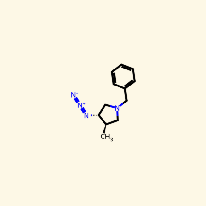 C[C@@H]1CN(Cc2ccccc2)C[C@H]1N=[N+]=[N-]